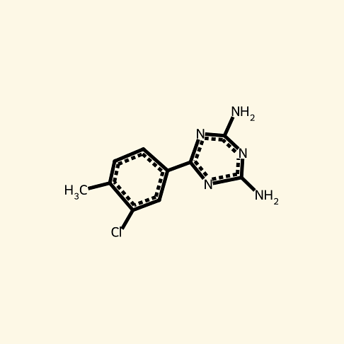 Cc1ccc(-c2nc(N)nc(N)n2)cc1Cl